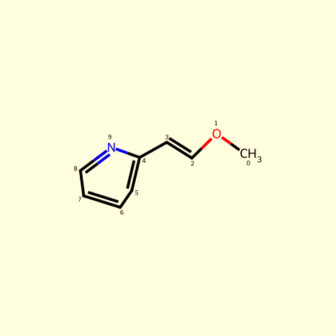 COC=Cc1ccccn1